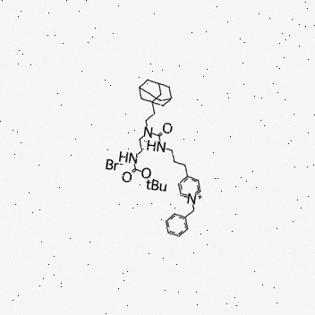 CC(C)(C)OC(=O)NCCN(CCC12CC3CC(CC(C3)C1)C2)C(=O)NCCCc1cc[n+](Cc2ccccc2)cc1.[Br-]